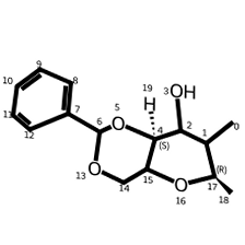 CC1C(O)[C@@H]2OC(c3ccccc3)OCC2O[C@@H]1C